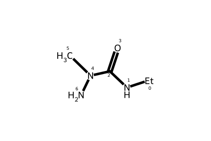 CCNC(=O)N(C)N